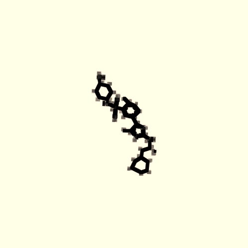 Cc1ccc(-c2sc(N[C@H](C)CC3CCCCC3)nc2C)cc1S(=O)(=O)N[C@H]1CC[C@H](O)CC1